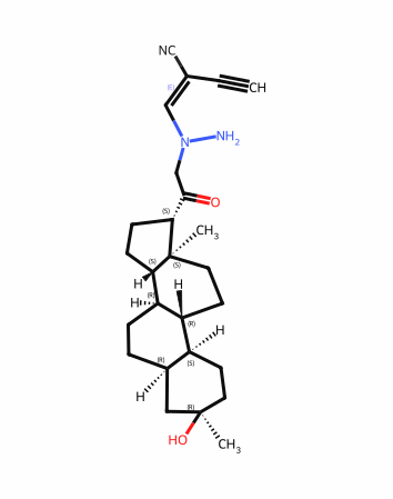 C#C/C(C#N)=C\N(N)CC(=O)[C@H]1CC[C@H]2[C@@H]3CC[C@@H]4C[C@](C)(O)CC[C@@H]4[C@H]3CC[C@]12C